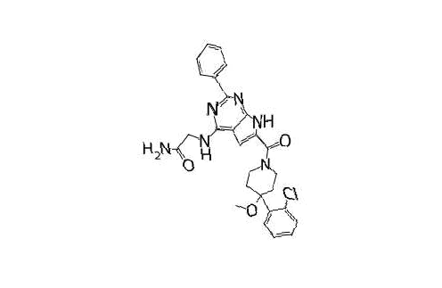 COC1(c2ccccc2Cl)CCN(C(=O)c2cc3c(NCC(N)=O)nc(-c4ccccc4)nc3[nH]2)CC1